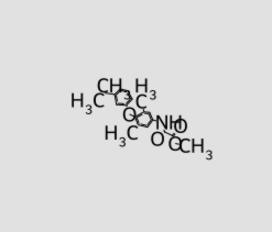 COC(=O)C(=O)Nc1cc(C)c(Oc2cccc(C(C)C)c2)c(C)c1